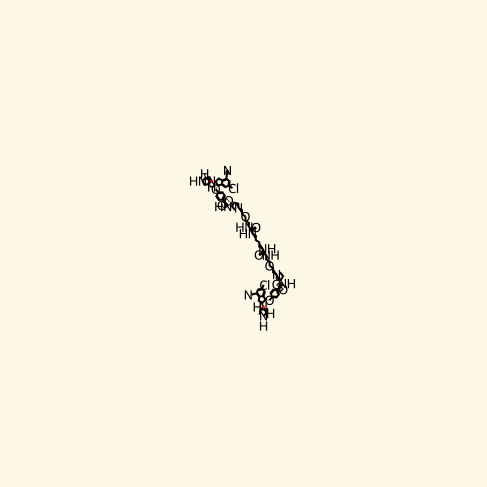 N#Cc1cc(Cl)cc2c1C[C@H](N1C[C@@H]3C[C@H]1CN3)[C@H]2Oc1ccc(S(=O)(=O)N[C@H]2CCN(CCOCCNC(=O)NCCCCNC(=O)NCCOCCN3CC[C@H](NS(=O)(=O)c4ccc(O[C@H]5c6cc(Cl)cc(C#N)c6C[C@@H]5N5C[C@@H]6C[C@H]5CN6)cc4)C3)C2)cc1